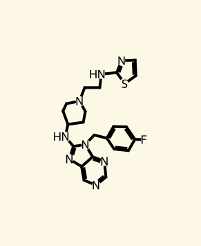 Fc1ccc(Cn2c(NC3CCN(CCNc4nccs4)CC3)nc3cncnc32)cc1